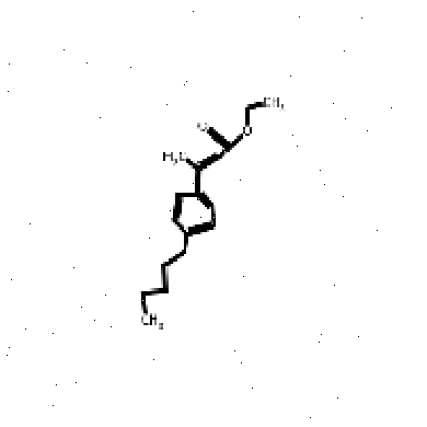 CCCCCc1ccc(/C(C)=C/C(=O)OCC)cc1